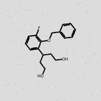 OCCC(CCO)c1cccc(F)c1OCc1ccccc1